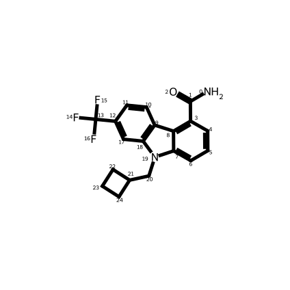 NC(=O)c1cccc2c1c1[c]cc(C(F)(F)F)cc1n2CC1CCC1